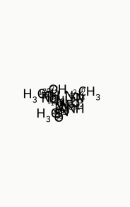 Cc1cc(N)c2cc(Nc3nc(Nc4ccc5nc(C)cc(O)c5c4)nc([S+](C)[O-])n3)ccc2n1